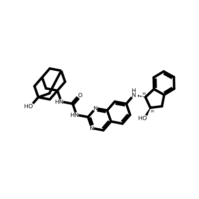 O=C(Nc1ncc2ccc(N[C@@H]3c4ccccc4C[C@H]3O)cc2n1)NC12CC3CC(CC(O)(C3)C1)C2